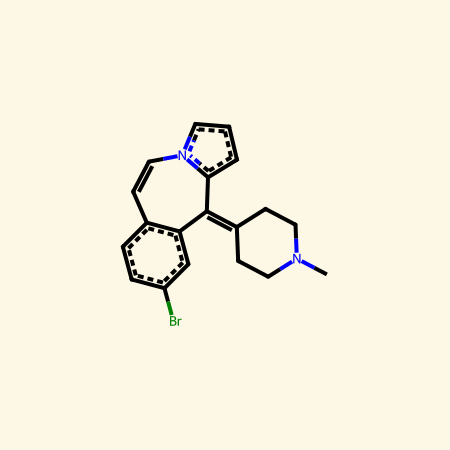 CN1CCC(=C2c3cc(Br)ccc3C=Cn3cccc32)CC1